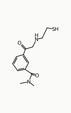 CN(C)C(=O)c1cccc(C(=O)CNCCS)c1